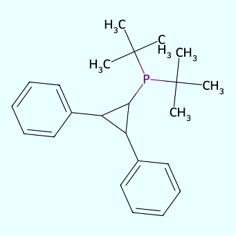 CC(C)(C)P(C1C(c2ccccc2)C1c1ccccc1)C(C)(C)C